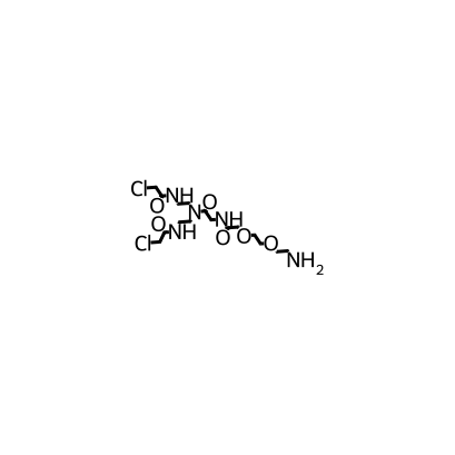 NCCOCCOCC(=O)NCC(=O)N(CCNC(=O)CCl)CCNC(=O)CCl